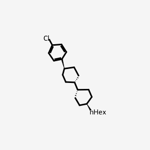 CCCCCC[C@H]1CC[C@H]([C@H]2CC[C@H](c3ccc(Cl)cc3)CC2)CC1